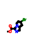 COC(=O)c1ncc2cc(Br)ccn12